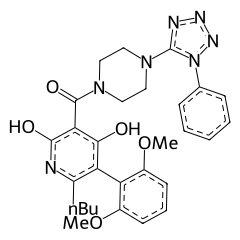 CCCCc1nc(O)c(C(=O)N2CCN(c3nnnn3-c3ccccc3)CC2)c(O)c1-c1c(OC)cccc1OC